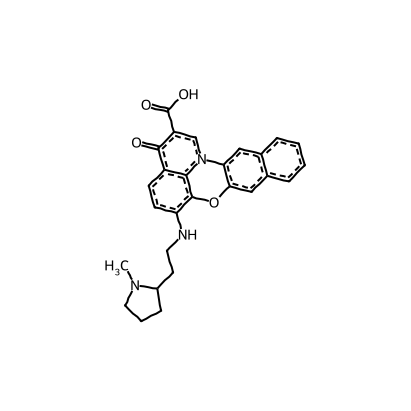 CN1CCCC1CCNc1ccc2c(=O)c(C(=O)O)cn3c2c1Oc1cc2ccccc2cc1-3